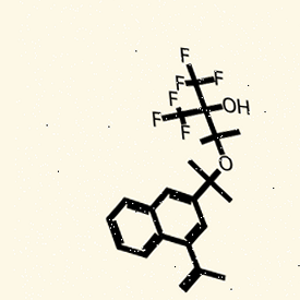 C=C(C)c1cc(C(C)(C)OC(C)(C)C(O)(C(F)(F)F)C(F)(F)F)cc2ccccc12